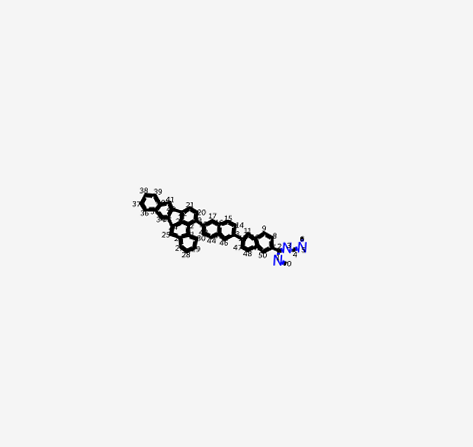 C=N/C(=N\C=N/C)c1ccc2cc(-c3ccc4cc(-c5ccc6c7c(cc8ccccc8c57)-c5cc7ccccc7cc5-6)ccc4c3)ccc2c1